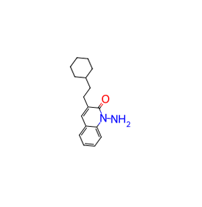 Nn1c(=O)c(CCC2CCCCC2)cc2ccccc21